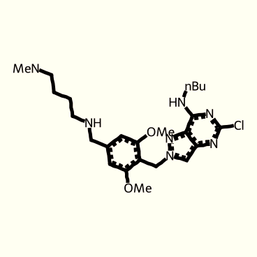 CCCCNc1nc(Cl)nc2cn(Cc3c(OC)cc(CNCCCCNC)cc3OC)nc12